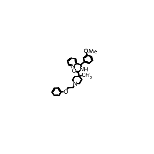 COc1cccc(C(NC(=O)C2(C)CCN(CCOc3ccccc3)CC2)c2ccccn2)c1